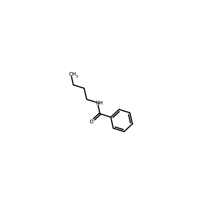 CCCCNC(=O)c1cc[c]cc1